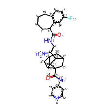 NC(CNC(=O)C1CCCCc2ccc(F)cc21)C1C2CC3CC1C(C(=O)Nc1ccncc1)(C3)C2